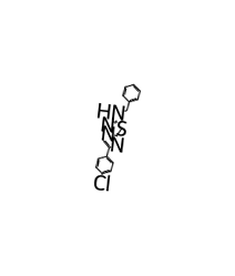 Clc1ccc(-c2cn3nc(NCc4ccccc4)sc3n2)cc1